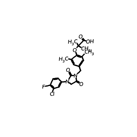 Cc1cc(CN2C(=O)CN(c3ccc(F)c(Cl)c3)C2=O)cc(C)c1OC(C)(C)C(=O)O